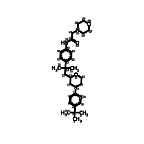 CC(C)(C)c1ccc(N2CCOC(CC(C)(C)c3ccc(NC(=O)CN4CCOCC4)cc3)C2)nc1